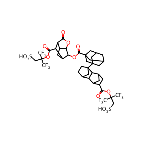 O=C(OC(CS(=O)(=O)O)(C(F)(F)F)C(F)(F)F)C1CC2CC1C1C3CCC(C45CC6CC(CC(C(=O)OC7C8CC9C7OC(=O)C9C8C(=O)OC(CS(=O)(=O)O)(C(F)(F)F)C(F)(F)F)(C6)C4)C5)(C3)C21